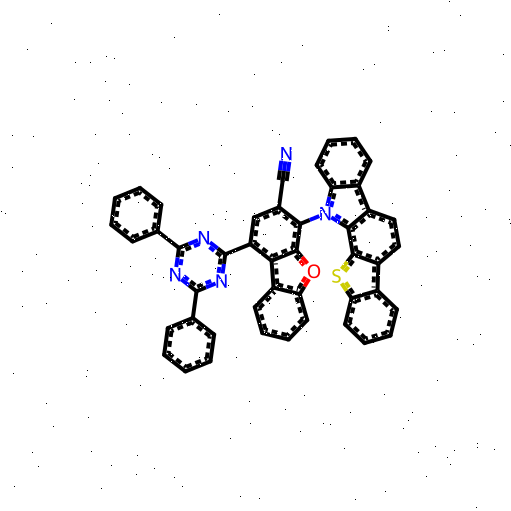 N#Cc1cc(-c2nc(-c3ccccc3)nc(-c3ccccc3)n2)c2c(oc3ccccc32)c1-n1c2ccccc2c2ccc3c4ccccc4sc3c21